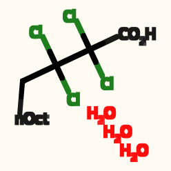 CCCCCCCCCC(Cl)(Cl)C(Cl)(Cl)C(=O)O.O.O.O